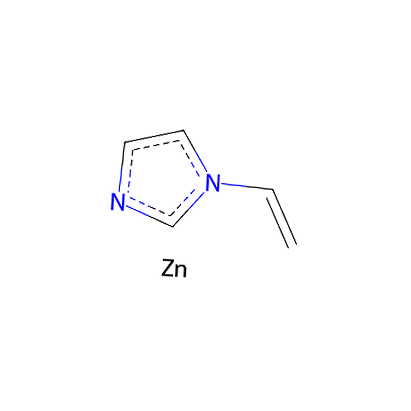 C=Cn1ccnc1.[Zn]